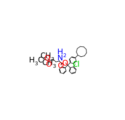 CC(C)(C)OC(=O)CC[C@H](N)C(=O)OC(c1ccccc1)(c1ccc(C2CCCCCCCC2)cc1)c1ccccc1Cl